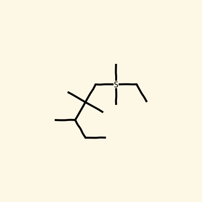 CCC(C)C(C)(C)CS(C)(C)CC